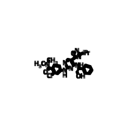 CC(C)c1noc(-c2cnc(Nc3ccc(C(=O)N(C)C)c(Cl)c3)nc2N[C@H](CO)c2ccccc2)n1